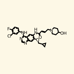 O=C(/C=C/CN1CCC(O)CC1)Nc1cc2c(Nc3ccc(F)c(Cl)c3)ncnc2cc1OCC1CC1